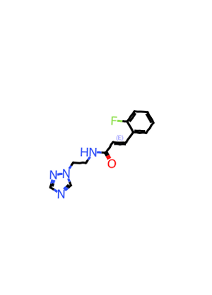 O=C(/C=C/c1ccccc1F)NCCn1cncn1